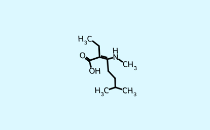 CCC(C(=O)O)=C(CCC(C)C)NC